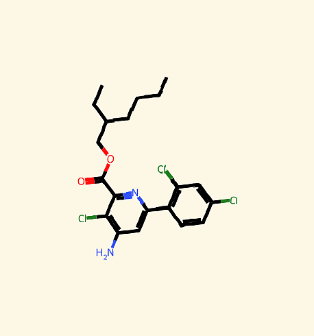 CCCCC(CC)COC(=O)c1nc(-c2ccc(Cl)cc2Cl)cc(N)c1Cl